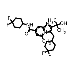 Cc1cc(C(=O)NC2CCC(F)(F)CC2)cc2nc(C(C)(C)O)c(CC3CCC(F)(F)CC3)n12